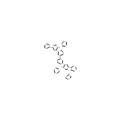 c1ccc(-n2c3ccc(-c4ccc5c(c4)c4cc6c7ccccc7n(-c7ccccc7)c6cc4n5-c4ccccc4)cc3c3cc4c(cc32)oc2ccccc24)cc1